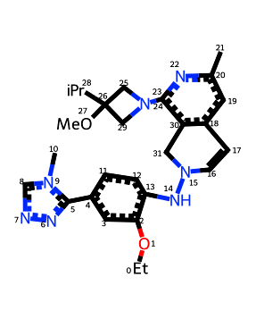 CCOc1cc(-c2nncn2C)ccc1NN1C=Cc2cc(C)nc(N3CC(OC)(C(C)C)C3)c2C1